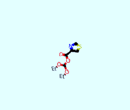 CCOC(OCC)OC(=O)c1cscn1